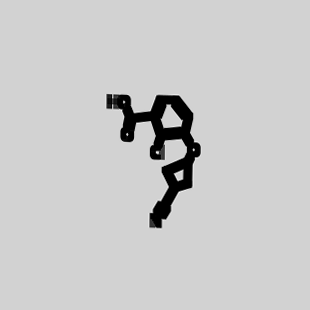 N#CC1CC(Oc2cccc(C(=O)O)c2Cl)C1